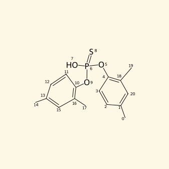 Cc1ccc(OP(O)(=S)Oc2ccc(C)cc2C)c(C)c1